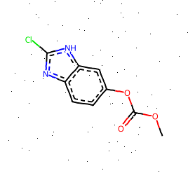 COC(=O)Oc1ccc2nc(Cl)[nH]c2c1